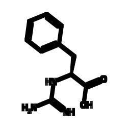 N=C(N)N[C@@H](Cc1ccccc1)C(=O)O